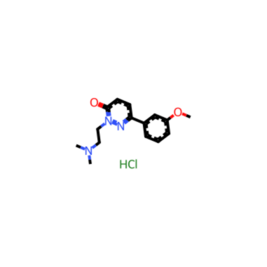 COc1cccc(-c2ccc(=O)n(CCN(C)C)n2)c1.Cl